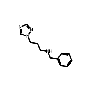 c1ccc(CNCCCn2cncn2)cc1